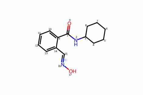 O=C(NC1CCCCC1)c1ccccc1/C=N/O